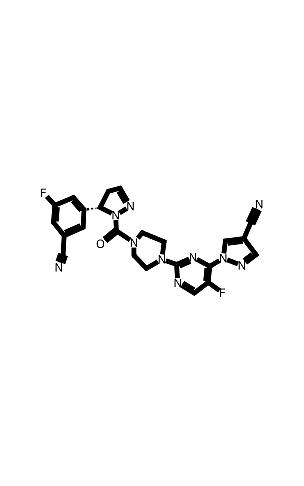 N#Cc1cc(F)cc([C@@H]2CC=NN2C(=O)N2CCN(c3ncc(F)c(-n4cc(C#N)cn4)n3)CC2)c1